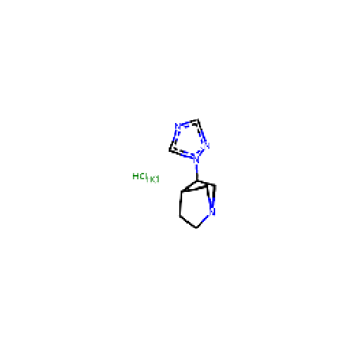 Cl.Cl.c1ncn(C2CN3CCC2C3)n1